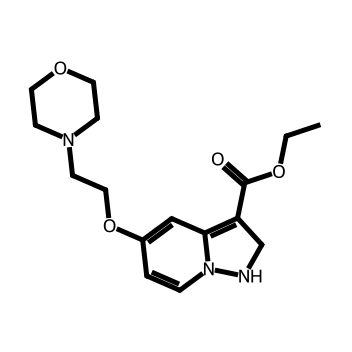 CCOC(=O)C1=C2C=C(OCCN3CCOCC3)C=CN2NC1